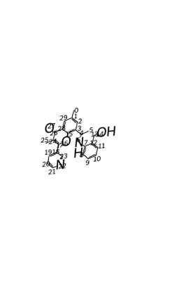 Cc1cc(C(C)Nc2ccccc2CO)c2oc(-c3cccnc3)c(C)c(=O)c2c1